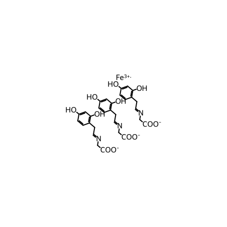 O=C([O-])CN=CCc1ccc(O)cc1O.O=C([O-])CN=CCc1ccc(O)cc1O.O=C([O-])CN=CCc1ccc(O)cc1O.[Fe+3]